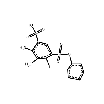 Cc1c(N)c(S(=O)(=O)O)cc(S(=O)(=O)Oc2ccccc2)c1F